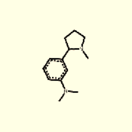 CN(C)c1cccc(C2CCCN2C)c1